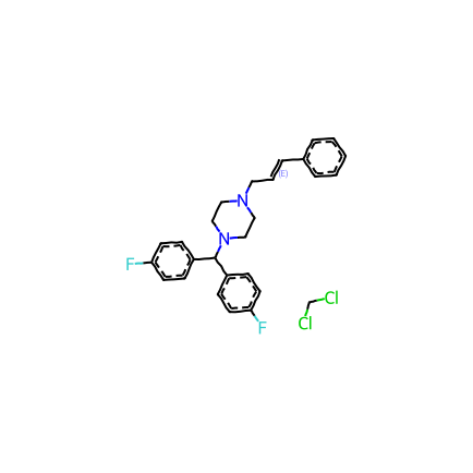 ClCCl.Fc1ccc(C(c2ccc(F)cc2)N2CCN(C/C=C/c3ccccc3)CC2)cc1